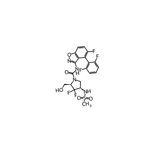 CS(=O)(=O)N[C@@H]1CN(C(=O)Nc2noc3ccc(F)c(-c4c(F)cccc4F)c23)[C@H](CO)C1(F)F